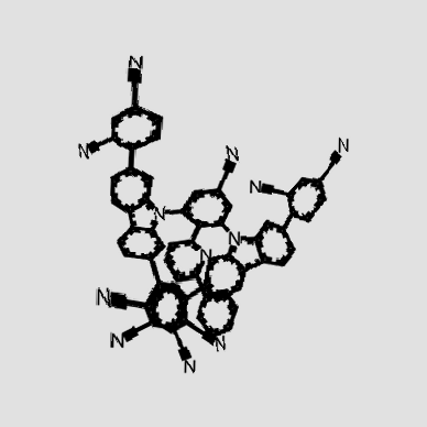 N#Cc1ccc(-c2ccc3c4ccc(-c5ccc(C#N)cc5C#N)cc4n(-c4cc(C#N)cc(-n5c6cc(-c7ccc(C#N)cc7C#N)ccc6c6ccc(-c7ccc(C#N)cc7C#N)cc65)c4-c4cccc(-c5ccccc5)n4)c3c2)c(C#N)c1